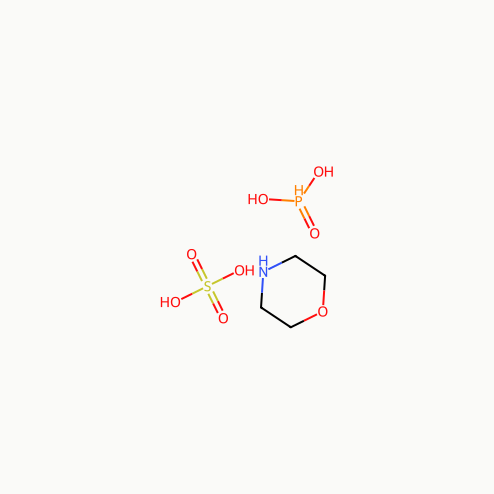 C1COCCN1.O=S(=O)(O)O.O=[PH](O)O